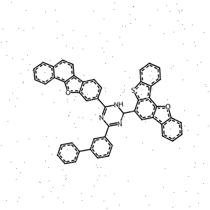 c1ccc(-c2cccc(C3=NC(c4cc5c6ccccc6oc5c5c4sc4ccccc45)NC(c4ccc5c(c4)oc4c6ccccc6ccc54)=N3)c2)cc1